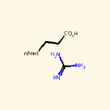 CCCCCCCC(=O)O.N=C(N)N